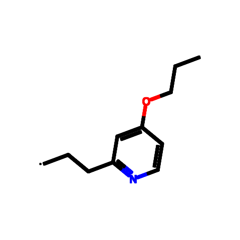 [CH2]CCc1cc(OCCC)ccn1